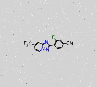 N#Cc1ccc(-c2nc3cc(C(F)(F)F)ccn3n2)c(F)c1